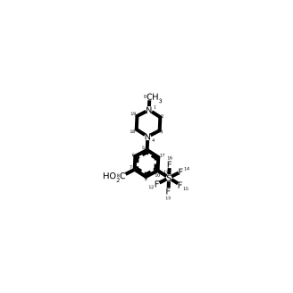 CN1CCN(c2cc(C(=O)O)cc(S(F)(F)(F)(F)F)c2)CC1